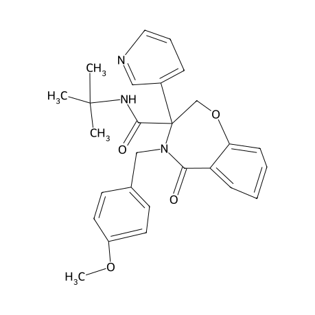 COc1ccc(CN2C(=O)c3ccccc3OCC2(C(=O)NC(C)(C)C)c2cccnc2)cc1